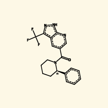 O=C(c1cnc2[nH]nc(C(F)(F)F)c2c1)N1CCCC[C@@H]1c1ccccc1